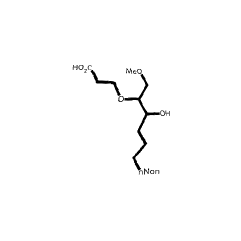 CCCCCCCCCCCCC(O)C(COC)OCCC(=O)O